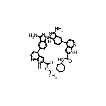 CCOC(=O)c1cc2c(-c3ccc4[nH]nc(N)c4c3)ccnc2[nH]1.Nc1n[nH]c2ccc(-c3ccnc4[nH]c(C(=O)NC5CCCCC5)cc34)cc12